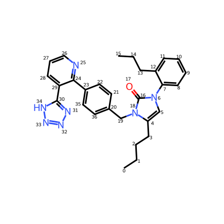 CCCCc1cn(-c2ccccc2CCC)c(=O)n1Cc1ccc(-c2ncccc2-c2nnn[nH]2)cc1